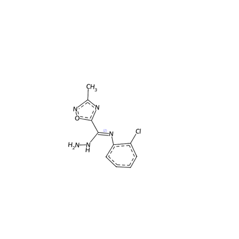 Cc1noc(/C(=N/c2ccccc2Cl)NN)n1